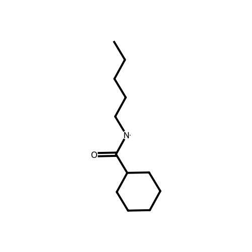 CCCCC[N]C(=O)C1CCCCC1